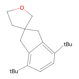 CC(C)(C)c1ccc(C(C)(C)C)c2c1CC1(CCOC1)C2